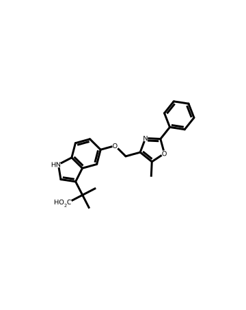 Cc1oc(-c2ccccc2)nc1COc1ccc2[nH]cc(C(C)(C)C(=O)O)c2c1